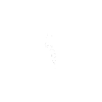 CC(C)(Sc1cnc(NC(=O)N(CC2CCCC2)c2ccc(S(=O)(=O)N3CCOCC3)cc2)s1)C(=O)O